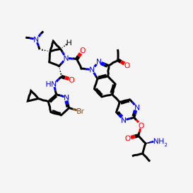 CC(=O)c1nn(CC(=O)N2[C@H](C(=O)Nc3nc(Br)ccc3C3CC3)C[C@@]3(CN(C)C)C[C@@H]23)c2ccc(-c3cnc(OC(=O)[C@@H](N)C(C)C)nc3)cc12